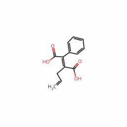 C=CC/C(C(=O)O)=C(\C(=O)O)c1ccccc1